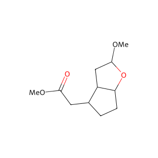 COC(=O)CC1CCC2OC(OC)CC12